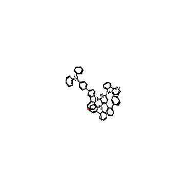 c1ccc(-c2ccccc2-c2cc(-n3c4ccccc4c4ncccc43)nc(-n3c4ccccc4c4cc(-c5ccc(N(c6ccccc6)c6ccccc6)cc5)ccc43)c2-n2c3ccccc3c3ncccc32)cc1